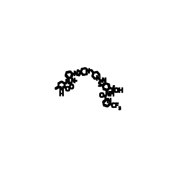 C=C1CCC(n2c(=O)n(C)c3c(N4CC5(CCN(CC6CCN(c7nc8cc(C(C)(C)O)c(NC(=O)c9cccc(C(F)(F)F)n9)cc8s7)CC6)CC5)C4)cccc32)C(=O)N1